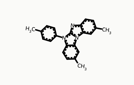 Cc1ccc(-n2c3ccc(C)cc3n3c4cc(C)ccc4nc23)cc1